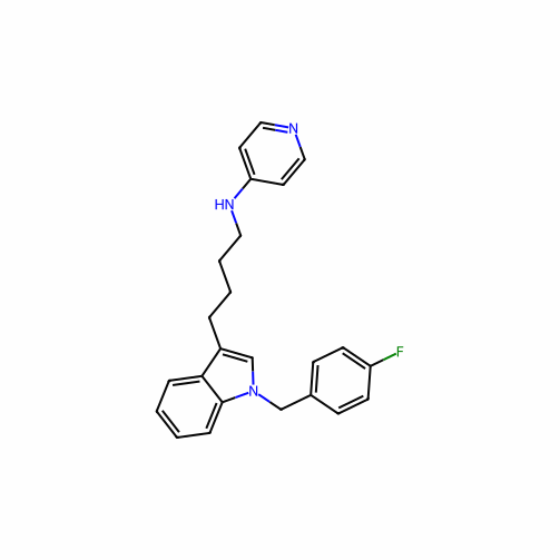 Fc1ccc(Cn2cc(CCCCNc3ccncc3)c3ccccc32)cc1